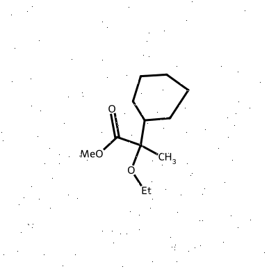 CCOC(C)(C(=O)OC)C1CCCCC1